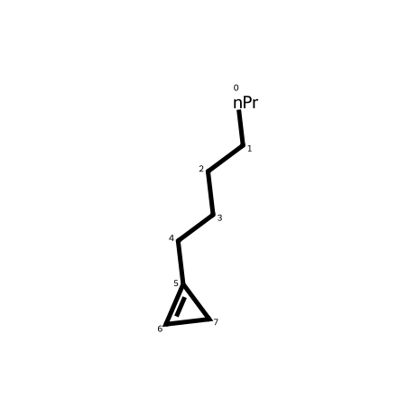 CCCCCCCC1=CC1